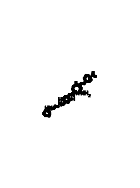 C/C1=C(CCC2CCCN(C(C)C)CC2)/C=C(N)\N=C(\NCc2ccc(CNCCCNC3CCCCC3)cc2)CC1